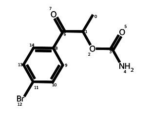 CC(OC(N)=O)C(=O)c1ccc(Br)cc1